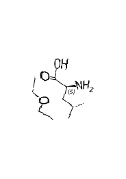 CC(C)C[C@H](N)C(=O)O.CCOCC